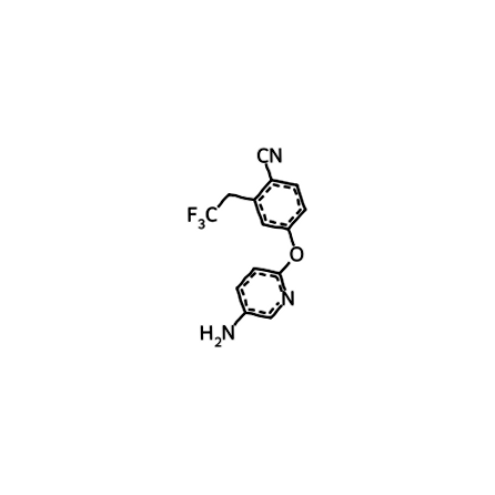 N#Cc1ccc(Oc2ccc(N)cn2)cc1CC(F)(F)F